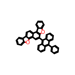 c1ccc(-c2c3ccccc3c(-c3cc4c(ccc5c6ccccc6oc54)c4c3oc3ccccc34)c3ccccc23)cc1